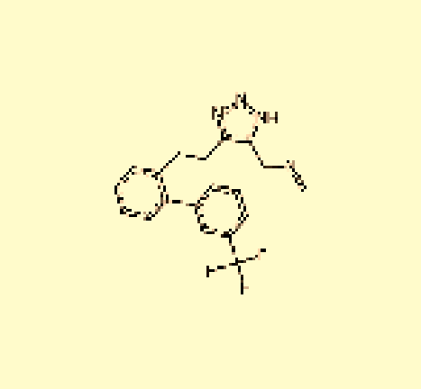 C=NCc1[nH]nnc1CCc1ccccc1-c1cccc(C(F)(F)F)c1